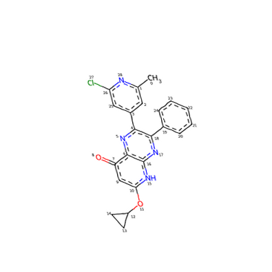 Cc1cc(-c2nc3c(=O)cc(OC4CC4)[nH]c3nc2-c2ccccc2)cc(Cl)n1